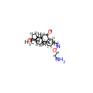 C[C@]12CCC(/C=N\OCCN)CC1C(=O)C[C@@H]1[C@H]2CC[C@]2(C)C(=O)CC[C@@H]12